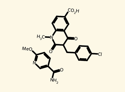 CN1C(=O)C(Cc2ccc(Cl)cc2)C(=O)c2cc(C(=O)O)ccc21.COc1ccc(C(N)=O)cn1